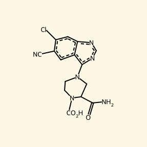 N#Cc1cc2c(N3CCN(C(=O)O)C(C(N)=O)C3)ncnc2cc1Cl